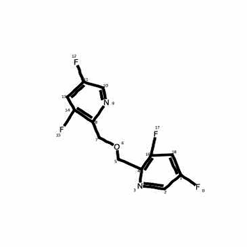 Fc1cnc(COCc2ncc(F)cc2F)c(F)c1